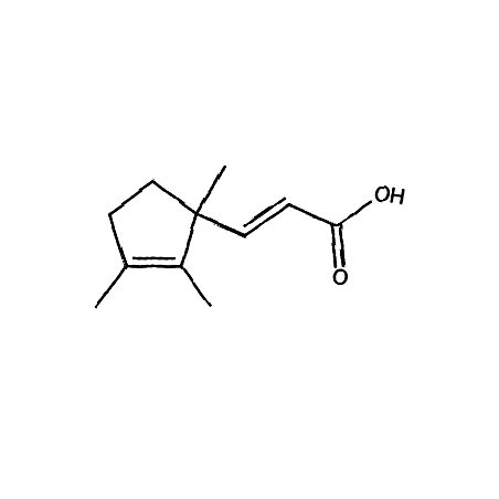 CC1=C(C)C(C)(/C=C/C(=O)O)CC1